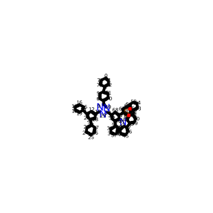 c1ccc(-c2ccc(-c3nc(-c4cc(-c5ccccc5)cc(-c5ccccc5)c4)nc(-c4cc(-c5ccccc5)c(-n5c6ccccc6c6ccc7c8ccccc8sc7c65)c(-c5ccccc5)c4)n3)cc2)cc1